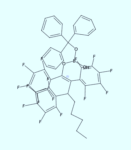 CCCCCC(/C(=C(/OB(O)OC(c1ccccc1)(c1ccccc1)c1ccccc1)c1c(F)c(F)c(F)c(F)c1F)c1c(F)c(F)c(F)c(F)c1F)c1c(F)c(F)c(F)c(F)c1F